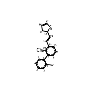 Cc1ccccc1-c1cccc(C=CC2CC=CS2)c1Cl